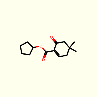 CC1(C)C[C]=C(C(=O)OC2CCCC2)C(=O)C1